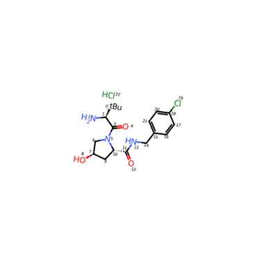 CC(C)(C)[C@H](N)C(=O)N1C[C@H](O)C[C@H]1C(=O)NCc1ccc(Cl)cc1.Cl